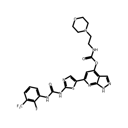 O=C(Nc1ncc(-c2cc(OC(=O)NCCN3CCOCC3)c3cn[nH]c3n2)s1)Nc1cccc(C(F)(F)F)c1F